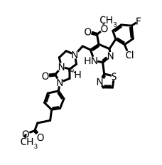 COC(=O)CCc1ccc(N2C[C@@H]3CN(CC4=C(C(=O)OC)C(c5ccc(F)cc5Cl)N=C(c5nccs5)N4)CCN3C2=O)cc1